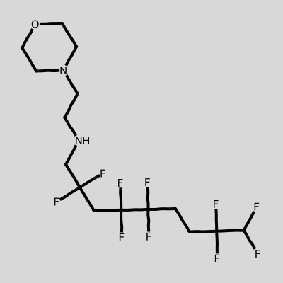 FC(F)C(F)(F)CCC(F)(F)C(F)(F)CC(F)(F)CNCCN1CCOCC1